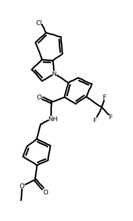 COC(=O)c1ccc(CNC(=O)c2cc(C(F)(F)F)ccc2-n2ccc3cc(Cl)ccc32)cc1